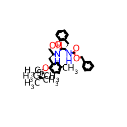 Cc1ccc(O[Si](C)(C)C(C)(C)C)c(C[C@@H](CO)NC(=O)[C@H](Cc2ccccc2)NC(=O)OCc2ccccc2)c1